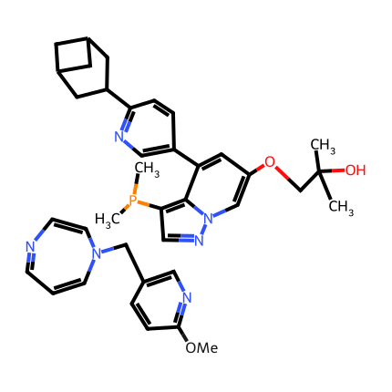 COc1ccc(CN2C=CC=NC=C2)cn1.CP(C)c1cnn2cc(OCC(C)(C)O)cc(-c3ccc(C4CC5CC(C5)C4)nc3)c12